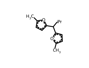 Cc1ccc(C(c2ccc(C)o2)C(C)C)o1